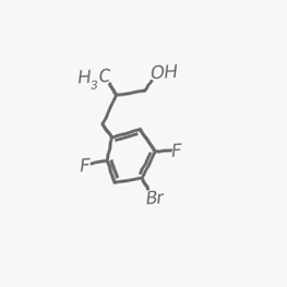 CC(CO)Cc1cc(F)c(Br)cc1F